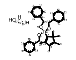 CC1=C(C)C(C)(C)[C]([Ti]([O]Cc2ccccc2)([O]Cc2ccccc2)[O]Cc2ccccc2)=C1C.Cl.Cl.Cl